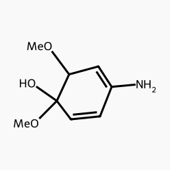 COC1C=C(N)C=CC1(O)OC